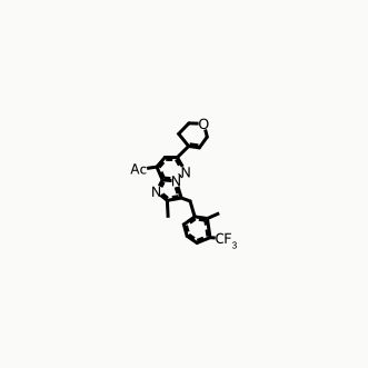 CC(=O)c1cc(C2=CCOCC2)nn2c(Cc3cccc(C(F)(F)F)c3C)c(C)nc12